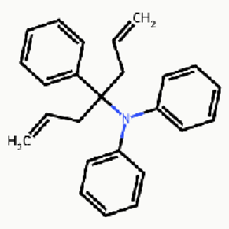 C=CCC(CC=C)(c1ccccc1)N(c1ccccc1)c1ccccc1